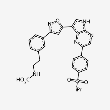 CC(C)S(=O)(=O)c1ccc(-c2cnc3[nH]cc(-c4cc(-c5cccc(CCNC(=O)O)c5)no4)c3n2)cc1